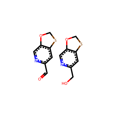 O=Cc1cc2c(cn1)OCS2.OCc1cc2c(cn1)OCS2